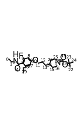 CCNC(=O)c1c(F)cc(OCCCC2CCN(C(=O)OC(C)(C)C)CC2)cc1F